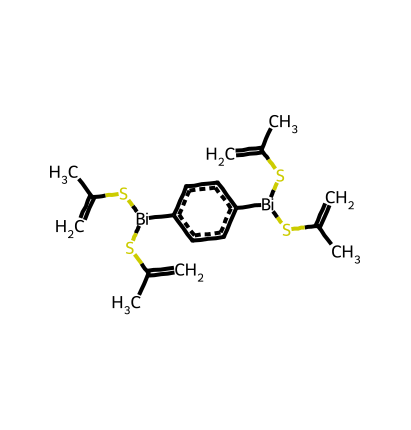 C=C(C)[S][Bi]([S]C(=C)C)[c]1cc[c]([Bi]([S]C(=C)C)[S]C(=C)C)cc1